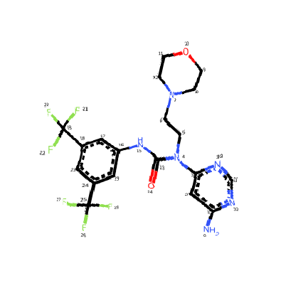 Nc1cc(N(CCN2CCOCC2)C(=O)Nc2cc(C(F)(F)F)cc(C(F)(F)F)c2)ncn1